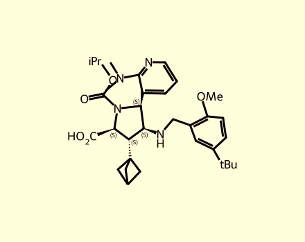 COc1ccc(C(C)(C)C)cc1CN[C@H]1[C@H](C23CC(C2)C3)[C@@H](C(=O)O)N(C(=O)OC(C)C)[C@H]1c1cccnc1N(C)C